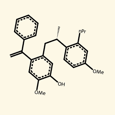 C=C(c1ccccc1)c1cc(OC)c(O)cc1C[C@H](C)c1ccc(OC)cc1CCC